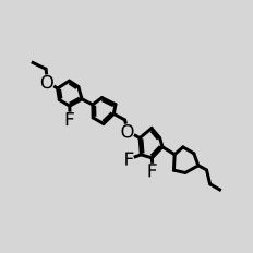 CCCC1CCC(c2ccc(OCc3ccc(-c4ccc(OCC)cc4F)cc3)c(F)c2F)CC1